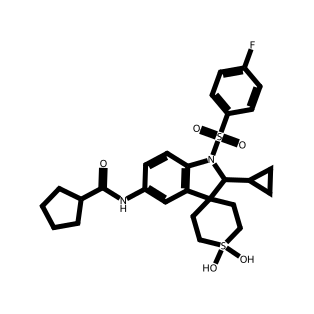 O=C(Nc1ccc2c(c1)C1(CCS(O)(O)CC1)C(C1CC1)N2S(=O)(=O)c1ccc(F)cc1)C1CCCC1